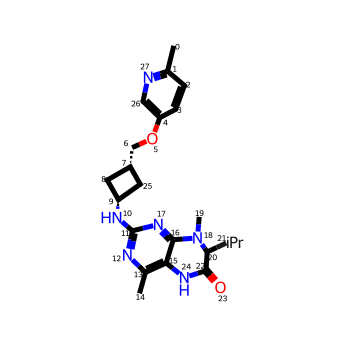 Cc1ccc(OC[C@H]2C[C@@H](Nc3nc(C)c4c(n3)N(C)C(C(C)C)C(=O)N4)C2)cn1